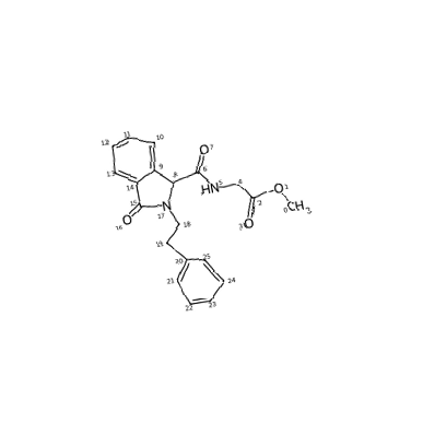 COC(=O)CNC(=O)C1c2ccccc2C(=O)N1CCc1ccccc1